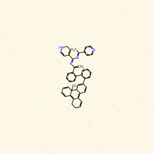 C=C(/N=C(\N=C(/C)c1ccncc1)C1=CCNC=C1)c1ccccc1-c1ccccc1C1=CC2C(=C3C=CCCC3=C3C=CC=CC32C)C=C1